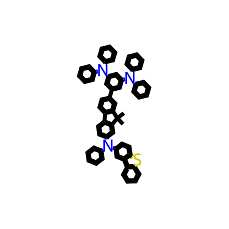 CC1(C)c2cc(-c3cc(N(c4ccccc4)c4ccccc4)cc(N(c4ccccc4)c4ccccc4)c3)ccc2-c2ccc(N(c3ccccc3)c3ccc4sc5ccccc5c4c3)cc21